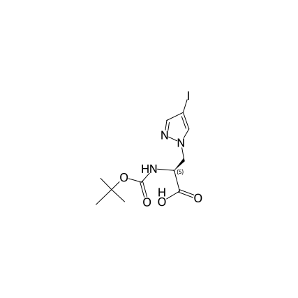 CC(C)(C)OC(=O)N[C@@H](Cn1cc(I)cn1)C(=O)O